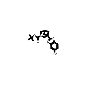 CC(C)(C)OC(=O)N1CC2CC(c3nc4cc(Br)ccc4s3)(C2)C1